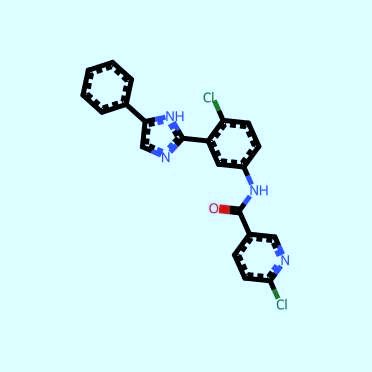 O=C(Nc1ccc(Cl)c(-c2ncc(-c3ccccc3)[nH]2)c1)c1ccc(Cl)nc1